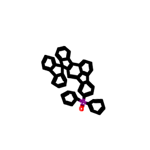 O=P(c1ccccc1)(c1ccccc1)c1ccc2c(c1)-c1cc3c(c4cccc-2c14)-c1ccccc1C31c2ccccc2-c2ccccc21